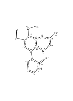 CCc1cc(-c2ccc[nH]c2=O)c2ncc(Br)cc2c1OC